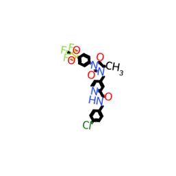 CC1C(=O)N(c2ccc(S(=O)(=O)C(F)(F)F)cc2)C(=O)N1Cc1ccnc(C(=O)NCc2ccc(Cl)cc2)c1